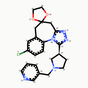 Clc1ccc2c(c1)CC1(Cc3nnc([C@H]4CCN(Cc5cccnc5)C4)n3-2)OCCO1